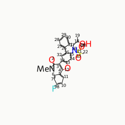 CNC(=O)c1c(-c2ccc(F)cc2)oc2cc(N(CC(C)O)S(C)(=O)=O)c(-c3ccccc3)cc12